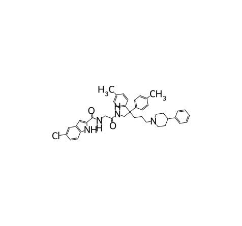 Cc1ccc(C(CCCN2CCC(c3ccccc3)CC2)(CNC(=O)CNC(=O)c2cc3cc(Cl)ccc3[nH]2)c2ccc(C)cc2)cc1